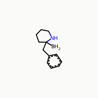 BC1(Cc2ccccc2)CCCCN1